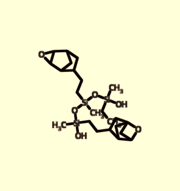 CC[Si](C)(O)O[Si](C)(CCC1CC2CC1C1OC21)O[Si](C)(O)CCC1CC23CC(O2)C1C3